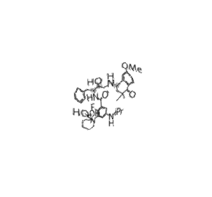 COc1ccc2c(c1)[C@@H](NC[C@H](O)[C@H](Cc1ccccc1)NC(=O)c1cc(NC(C)C)cc(N3CCCCS3(O)O)c1F)CC(C)(C)C2=O